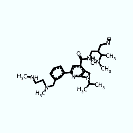 CNCCN(C)Cc1cccc(-c2cc(C(=O)NCC(CN=O)C(C)N(C)C)c3c(n2)N(C(C)C)C3)c1